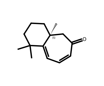 CC1(C)CCC[C@@]2(C)CC(=O)C=CC=C12